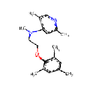 Cc1cc(C)c(OCCN(C)c2cc(C)ncc2C)c(C)c1